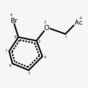 [CH2]C(=O)COc1ccccc1Br